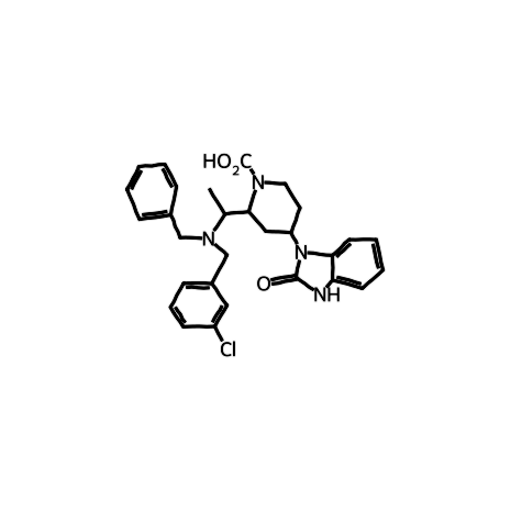 CC(C1CC(n2c(=O)[nH]c3ccccc32)CCN1C(=O)O)N(Cc1ccccc1)Cc1cccc(Cl)c1